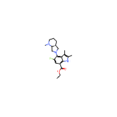 CCOC(=O)c1cc(F)c(N2CC3CCCN(C)C3C2)c2c(C)c(C)[nH]c12